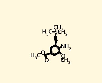 COC(=O)c1cc(C#C[Si](C)(C)C)c(N)c(OC)c1